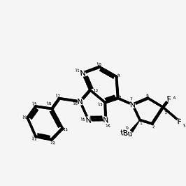 CC(C)(C)[C@@H]1CC(F)(F)CN1c1ccnc2c1nnn2Cc1[c]cccc1